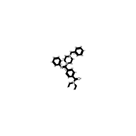 CCN(CC)C(=O)c1ccc(C(=Nc2ccccc2)N2CCN(Cc3ccccc3)CC2)cc1